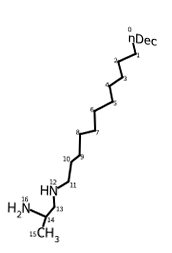 CCCCCCCCCCCCCCCCCCCCCNCC(C)N